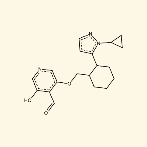 O=Cc1c(O)cncc1OCC1CCCCC1c1ccnn1C1CC1